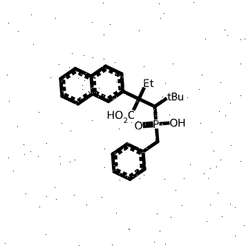 CCC(C(=O)O)(c1ccc2ccccc2c1)C(C(C)(C)C)P(=O)(O)Cc1ccccc1